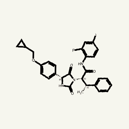 C[C@@H](c1ccccc1)[C@@H](C(=O)Nc1ccc(I)cc1F)N1C(=O)N[C@H](c2ccc(OCC3CC3)cc2)C1=O